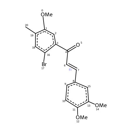 COc1cc(C(=O)/C=C/c2ccc(OC)c(OC)c2)c(Br)cc1C